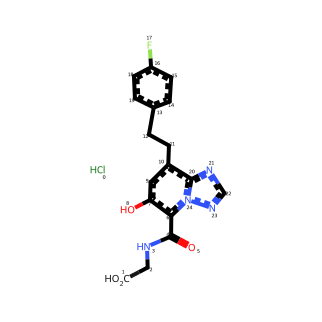 Cl.O=C(O)CNC(=O)c1c(O)cc(CCc2ccc(F)cc2)c2ncnn12